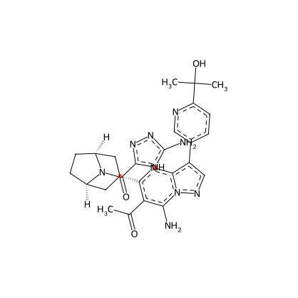 CC(=O)c1c([C@@H]2C[C@H]3CC[C@@H](C2)N3C(=O)c2nnc(N)[nH]2)nc2c(-c3ccc(C(C)(C)O)nc3)cnn2c1N